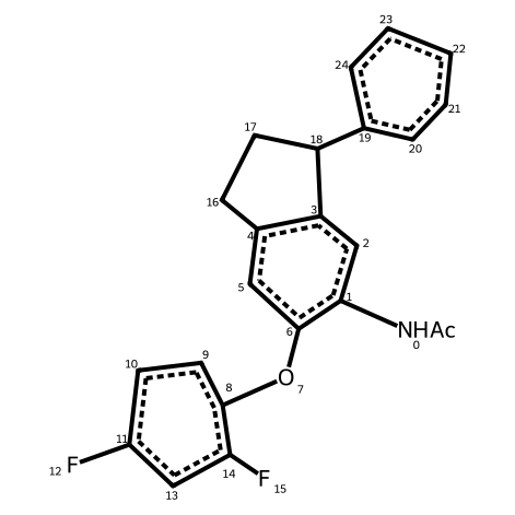 CC(=O)Nc1cc2c(cc1Oc1ccc(F)cc1F)CCC2c1ccccc1